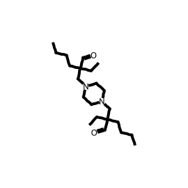 CCCCC(C=O)(CC)CN1CCN(CC(C=O)(CC)CCCC)CC1